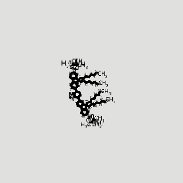 CCCCCCCCC1(CCCCCCCC)c2cc(B3OC(C)(C)C(C)(C)O3)ccc2-c2ccc(-c3ccc(C4=CC5C(C=C4)c4ccc(B6OC(C)(C)C(C)(C)O6)cc4C5(CCCCCCCC)CCCCCCCC)c4nsnc34)cc21